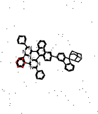 c1ccc(-c2nc(-c3ccccc3)nc(-c3c(-c4nc(-c5ccccc5)nc(-c5ccccc5)n4)c4ccc(-c5ccc6c(c5)-c5ccccc5C65C6CC7CC(C6)CC5C7)cc4c4ccccc34)n2)cc1